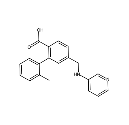 Cc1ccccc1-c1cc(CNc2cccnc2)ccc1C(=O)O